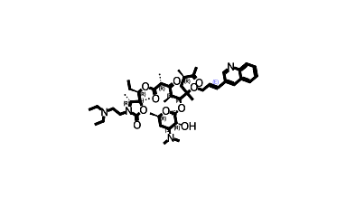 CC[C@@H](OC(=O)[C@H](C)C(=O)[C@H](C)[C@@H](O[C@@H]1O[C@H](C)C[C@H](N(C)C)[C@H]1O)C(C)(C[C@@H](C)C(C)=O)OC/C=C/c1cnc2ccccc2c1)[C@@]1(C)OC(=O)N(CCN(CC)CC)[C@@H]1C